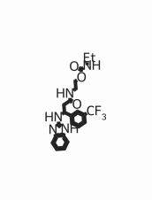 CCNC(=O)OCCNC(=O)CC(Nc1nc2ccccc2[nH]1)c1cccc(C(F)(F)F)c1